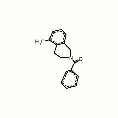 Cc1cccc2c1CCN(C(=O)c1ccccc1)C2